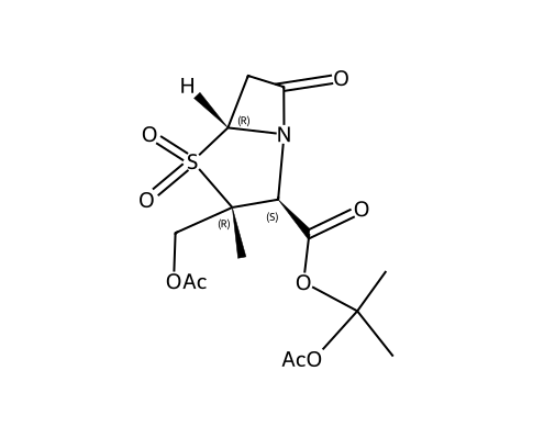 CC(=O)OC[C@@]1(C)[C@H](C(=O)OC(C)(C)OC(C)=O)N2C(=O)C[C@H]2S1(=O)=O